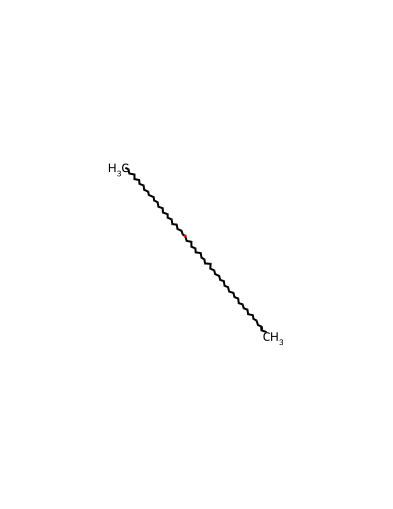 CC/C=C/CCCCCCCCCCCCCCCCCCCCCCCCCCCCCCCCCCCCCCCCCCCCCCCCCCCCCCCCC